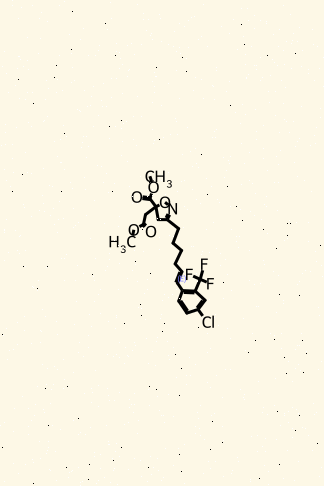 COC(=O)CC1(C(=O)OC)CC(CCCC/C=C/c2ccc(Cl)cc2C(F)(F)F)=NO1